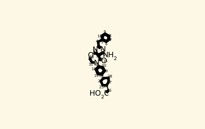 Nc1nc(Cc2ccccc2)nc2c1C(=O)N(c1ccc([C@H]3CC[C@H](CC(=O)O)CC3)cc1)CCO2